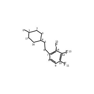 CC1CCC(CCc2ccc(F)c(F)c2F)CC1